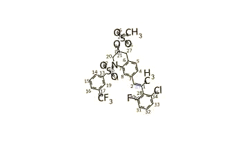 C/C(=C\c1ccc2c(c1)N(S(=O)(=O)c1cccc(C(F)(F)F)c1)C[C@@H](OS(C)(=O)=O)C2)c1c(F)cccc1Cl